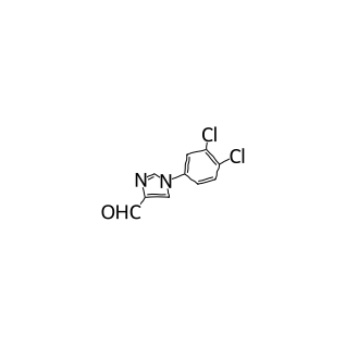 O=Cc1cn(-c2ccc(Cl)c(Cl)c2)cn1